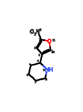 O=[N+]([O-])c1cc(C2CCCCN2)[c]o1